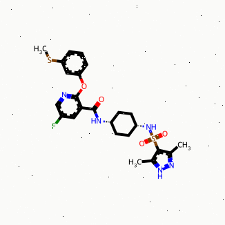 CSc1cccc(Oc2ncc(F)cc2C(=O)N[C@H]2CC[C@@H](NS(=O)(=O)c3c(C)n[nH]c3C)CC2)c1